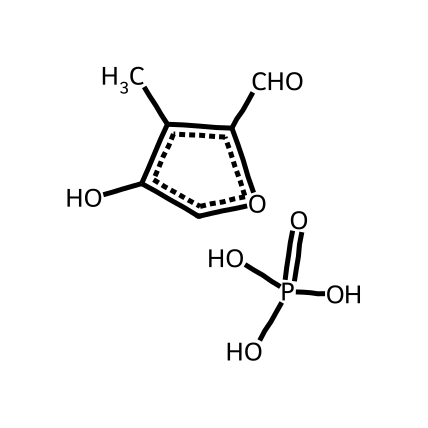 Cc1c(O)coc1C=O.O=P(O)(O)O